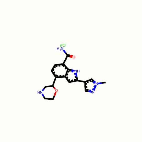 Cl.Cn1cc(-c2cc3c(C4CNCCO4)ccc(C(N)=O)c3[nH]2)cn1